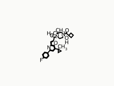 CC1(c2cc(-c3ccc(F)cc3)nc3cc(C(=O)N4CCN(C(=O)C5(O)CCC5)CC4(C)C)oc23)CC1